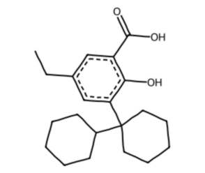 CCc1cc(C(=O)O)c(O)c(C2(C3CCCCC3)CCCCC2)c1